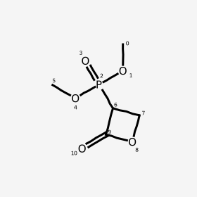 COP(=O)(OC)C1COC1=O